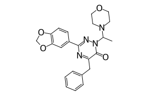 CC(N1CCOCC1)n1nc(-c2ccc3c(c2)OCO3)nc(Cc2ccccc2)c1=O